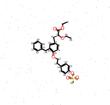 CCOC(=O)[C@H](Cc1ccc(OCCc2ccc(OS(C)(=O)=O)cc2)c(Cc2ccccc2)c1)OCC